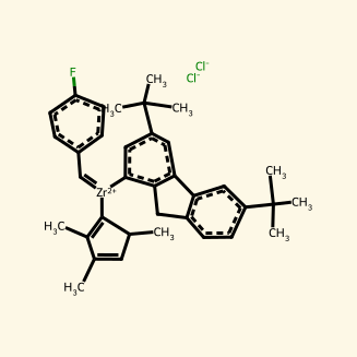 CC1=CC(C)[C](/[Zr+2](=[CH]/c2ccc(F)cc2)[c]2cc(C(C)(C)C)cc3c2Cc2ccc(C(C)(C)C)cc2-3)=C1C.[Cl-].[Cl-]